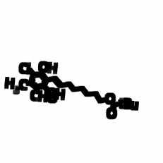 Cc1c(Cl)c(O)c(C=CCCCCCCOC(=O)C(C)(C)C)c(O)c1C=O